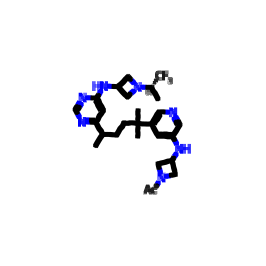 CC(=O)N1CC(Nc2cncc(C(C)(C)CCC(C)c3cc(NC4CN([C@@H](C)C(F)(F)F)C4)ncn3)c2)C1